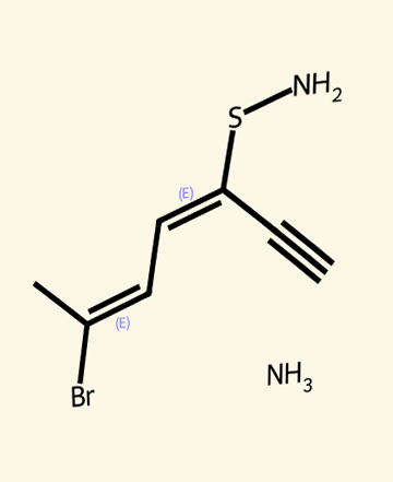 C#C/C(=C\C=C(/C)Br)SN.N